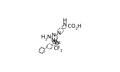 CC(C)(C)C1([C@@H](Oc2cc(N3CCC4(CC3)CN[C@H](C(=O)O)C4)nc(N)n2)C(F)(F)F)C=CC(c2ccccc2)=CC1